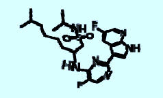 CC(C)CCCCC(CS(=O)(=O)NC(C)C)Nc1nc(-c2c[nH]c3ncc(F)cc23)ncc1F